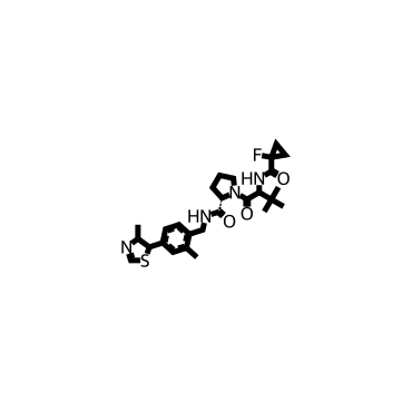 Cc1cc(C2SC=NC2C)ccc1CNC(=O)[C@@H]1CCCN1C(=O)C(NC(=O)C1(F)CC1)C(C)(C)C